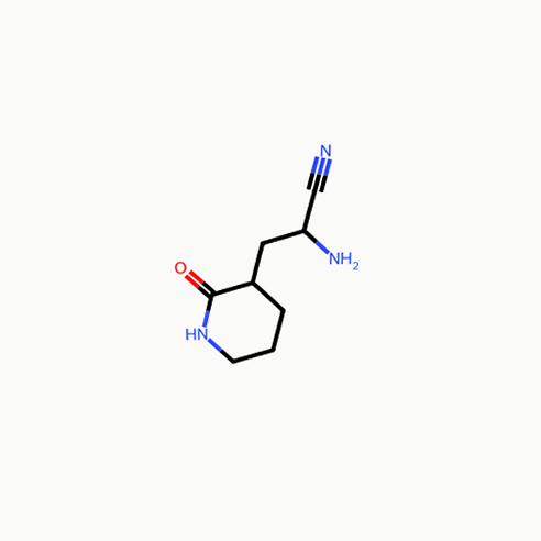 N#CC(N)CC1CCCNC1=O